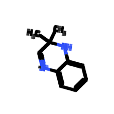 CC1(C)C=[N+]c2ccccc2N1